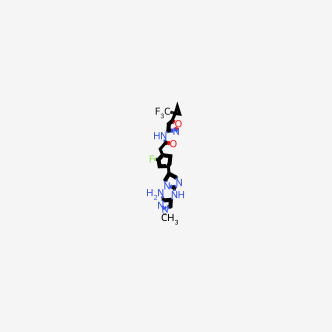 Cn1cc(Nc2ncc(-c3ccc(CC(=O)Nc4cc(C5(C(F)(F)F)CC5)on4)c(F)c3)cn2)c(N)n1